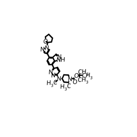 C[C@@H]1C[C@H](N(C)c2ccc(-c3ccc(-c4cnn(C5CCCCO5)c4)c4cn[nH]c34)nn2)CCN1C(=O)OC(C)(C)C